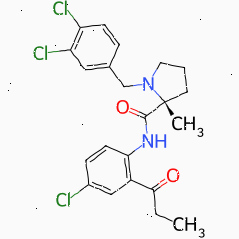 CCC(=O)c1cc(Cl)ccc1NC(=O)[C@@]1(C)CCCN1Cc1ccc(Cl)c(Cl)c1